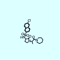 CC(C(=O)N1CCCCCC1)N1CCC(NS(=O)(=O)c2ccc3cc(Cl)ccc3c2)C1=O